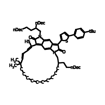 CCCCCCCCCCCCC(CCCCCCCCCC)CN1C(=O)C2=c3cc4c(cc31)=C(c1ccc(-c3ccc(C(C)(C)C)cc3)s1)C(=O)N4CC(CCCCCCCCCCCC)CCCCCCCCCCC(C)(C)/C=C/C=C/2S